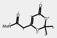 CNC(=O)CC1=CC(=O)OC(C)(C)O1